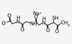 CC(=O)C(S)C(=O)NCC(=O)NCC(=O)NCC(=O)[O-].[Na+]